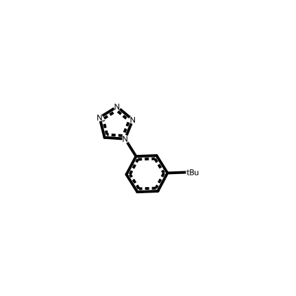 CC(C)(C)c1cccc(-n2cnnn2)c1